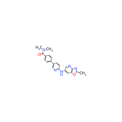 Cc1nc2ncc(Nc3ccc(-c4ccc(C(=O)N(C)C)cc4)cn3)cc2o1